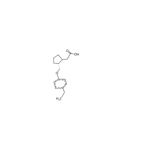 CCc1ccc(OC[C@@H]2CCCC2CC(=O)O)cc1